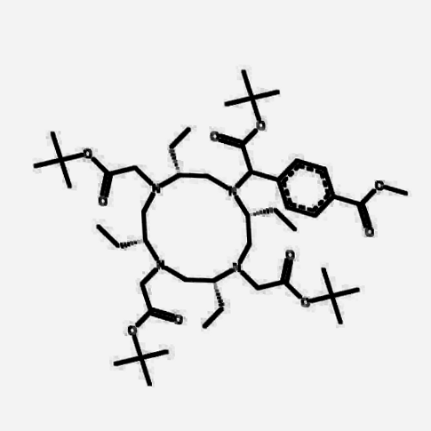 CC[C@@H]1CN(CC(=O)OC(C)(C)C)[C@H](CC)CN(C(C(=O)OC(C)(C)C)c2ccc(C(=O)OC)cc2)[C@H](CC)CN(CC(=O)OC(C)(C)C)[C@H](CC)CN1CC(=O)OC(C)(C)C